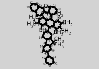 Bc1c(B)c(B)c2c(-c3cccc4oc5c6ccccc6ccc5c34)c3c(B)c(B)c(B)c(B)c3c(-c3ccc4c(c3)C(C)(C)c3cc(-c5ccccc5)ccc3-4)c2c1B